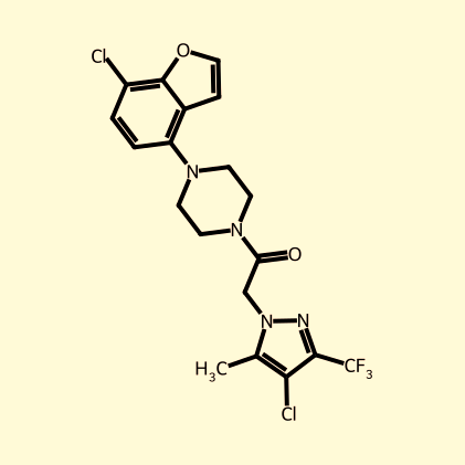 Cc1c(Cl)c(C(F)(F)F)nn1CC(=O)N1CCN(c2ccc(Cl)c3occc23)CC1